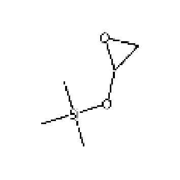 C[Si](C)(C)OC1CO1